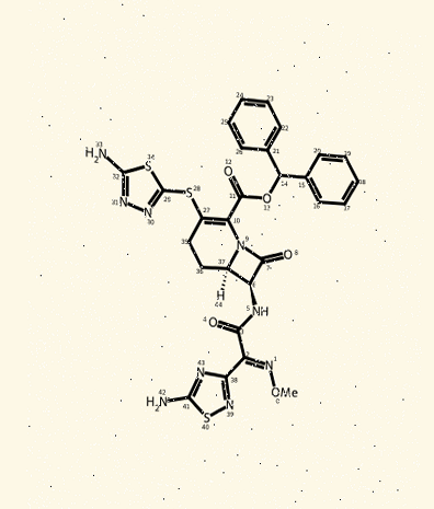 CON=C(C(=O)N[C@@H]1C(=O)N2C(C(=O)OC(c3ccccc3)c3ccccc3)=C(Sc3nnc(N)s3)CC[C@H]12)c1nsc(N)n1